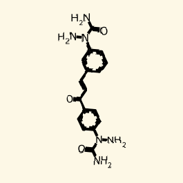 NC(=O)N(N)c1ccc(C(=O)/C=C/c2cccc(N(N)C(N)=O)c2)cc1